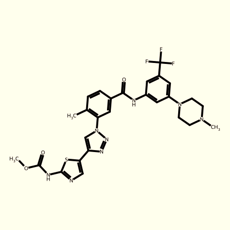 COC(=O)Nc1ncc(-c2cn(-c3cc(C(=O)Nc4cc(N5CCN(C)CC5)cc(C(F)(F)F)c4)ccc3C)nn2)s1